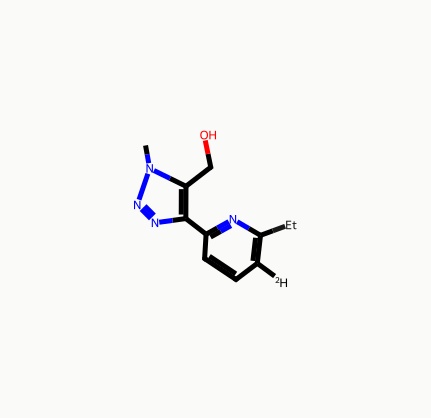 [2H]c1ccc(-c2nnn(C)c2CO)nc1CC